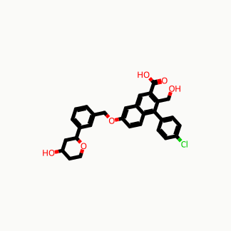 O=C(O)c1cc2cc(OCc3cccc(C4CC(O)CCO4)c3)ccc2c(-c2ccc(Cl)cc2)c1CO